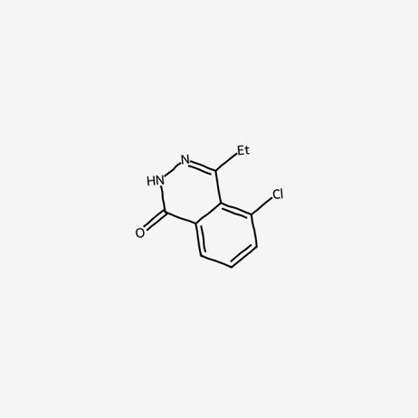 CCc1n[nH]c(=O)c2cccc(Cl)c12